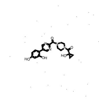 O=C(c1ncc(-c2ccc(O)cc2O)cn1)N1CCN(C(=O)C2(O)CC2)CC1